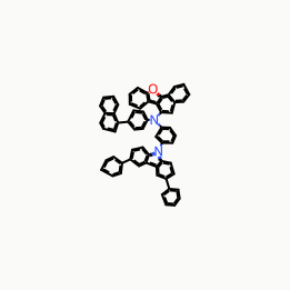 c1ccc(-c2ccc3c(c2)c2cc(-c4ccccc4)ccc2n3-c2cccc(N(c3ccc(-c4cccc5ccccc45)cc3)c3cc4ccccc4c4oc5ccccc5c34)c2)cc1